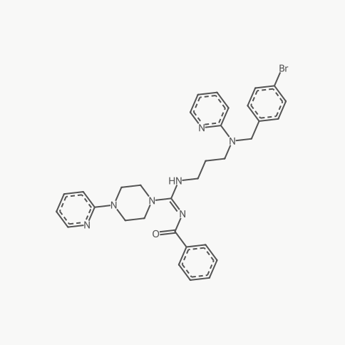 O=C(N=C(NCCCN(Cc1ccc(Br)cc1)c1ccccn1)N1CCN(c2ccccn2)CC1)c1ccccc1